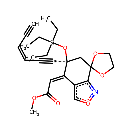 C#C/C=C\C#C[C@]1(O[Si](CC)(CC)CC)CC2(OCCO2)c2nocc2/C1=C\C(=O)OC